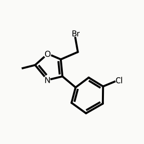 Cc1nc(-c2cccc(Cl)c2)c(CBr)o1